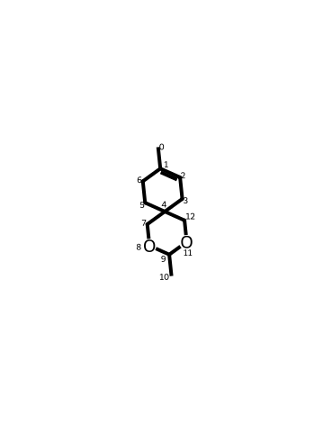 CC1=CCC2(CC1)COC(C)OC2